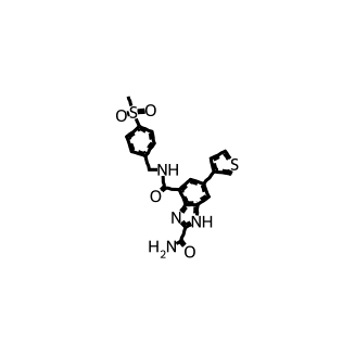 CS(=O)(=O)c1ccc(CNC(=O)c2cc(-c3ccsc3)cc3[nH]c(C(N)=O)nc23)cc1